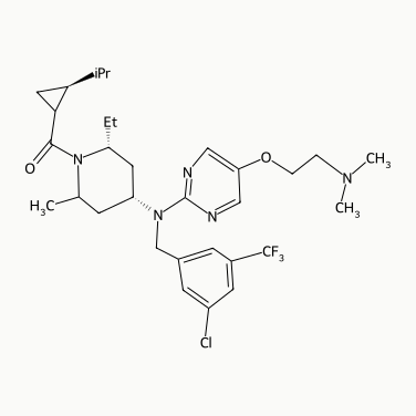 CC[C@@H]1C[C@H](N(Cc2cc(Cl)cc(C(F)(F)F)c2)c2ncc(OCCN(C)C)cn2)CC(C)N1C(=O)C1C[C@H]1C(C)C